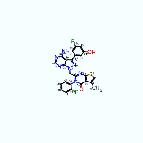 Cc1csc2nc(Cn3nc(-c4cc(O)cc(F)c4)c4c(N)ncnc43)n(-c3ccccc3F)c(=O)c12